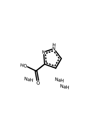 O=C(O)c1cc[nH]n1.[NaH].[NaH].[NaH]